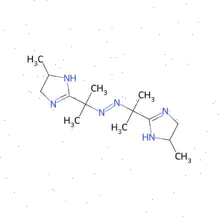 CC1CN=C(C(C)(C)N=NC(C)(C)C2=NCC(C)N2)N1